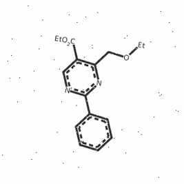 CCOCc1nc(-c2ccccc2)ncc1C(=O)OCC